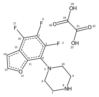 Fc1c(F)c(N2CCNCC2)c2occc2c1F.O=C(O)C(=O)O